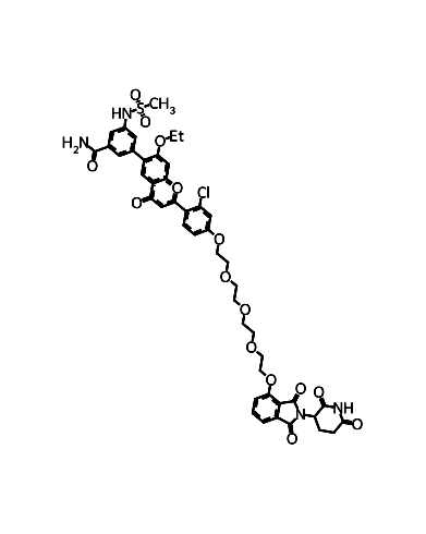 CCOc1cc2oc(-c3ccc(OCCOCCOCCOCCOc4cccc5c4C(=O)N(C4CCC(=O)NC4=O)C5=O)cc3Cl)cc(=O)c2cc1-c1cc(NS(C)(=O)=O)cc(C(N)=O)c1